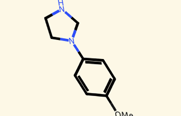 COc1ccc(N2CCNC2)cc1